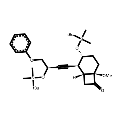 CO[C@]12CC[C@@H](O[Si](C)(C)C(C)(C)C)[C@H](C#C[C@H](COc3ccccc3)O[Si](C)(C)C(C)(C)C)[C@H]1CC2=O